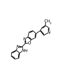 Cc1cncc(-c2ccc3nc(-c4nc5ccccc5[nH]4)oc3c2)c1